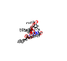 CCCCC(=O)Oc1ccc(C[C@H](NCCOC(=O)CC(C)CC)C(=O)OC)cc1OC(=O)CCCC